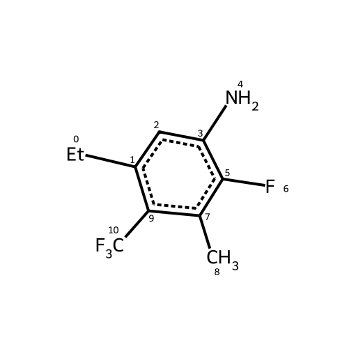 CCc1cc(N)c(F)c(C)c1C(F)(F)F